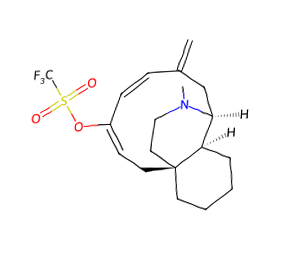 C=C1/C=C\C(OS(=O)(=O)C(F)(F)F)=C/C[C@]23CCCC[C@@H]2[C@H](C1)N(C)CC3